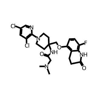 CN(C)CC(=O)NC1(COc2ccc(F)c3c2CCC(=O)N3)CCN(c2ncc(Cl)cc2Cl)CC1